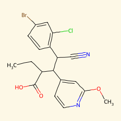 CCC(C(=O)O)C(c1ccnc(OC)c1)C(C#N)c1ccc(Br)cc1Cl